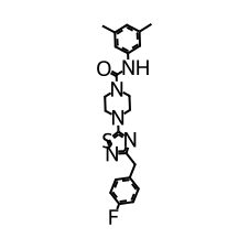 Cc1cc(C)cc(NC(=O)N2CCN(c3nc(Cc4ccc(F)cc4)ns3)CC2)c1